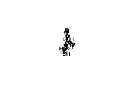 O=C(NCCS(=O)(=O)O)c1ccc(CC(C(=O)Nc2ccc(-c3cc4ccccc4o3)cc2)c2ccc(OC(F)(F)F)cc2)cc1